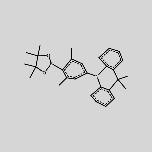 Cc1cc(N2c3ccccc3C(C)(C)c3ccccc32)cc(C)c1B1OC(C)(C)C(C)(C)O1